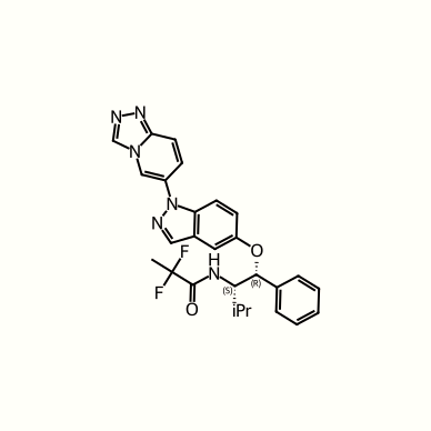 CC(C)[C@H](NC(=O)C(C)(F)F)[C@H](Oc1ccc2c(cnn2-c2ccc3nncn3c2)c1)c1ccccc1